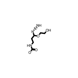 N=[N+]=NC(CCNC(=O)[O-])OCCO